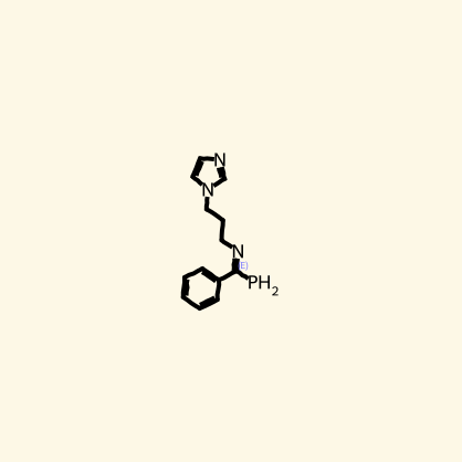 P/C(=N/CCCn1ccnc1)c1ccccc1